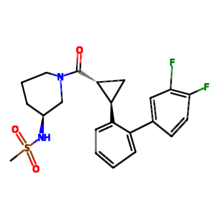 CS(=O)(=O)N[C@H]1CCCN(C(=O)[C@@H]2C[C@H]2c2ccccc2-c2ccc(F)c(F)c2)C1